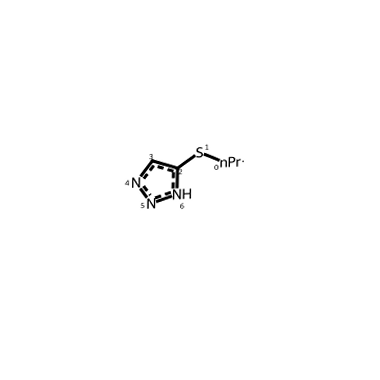 CC[CH]Sc1cnn[nH]1